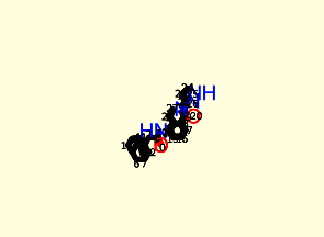 O=C(CC12CC3CC(CC(C3)C1)C2)Nc1cccc2c(=O)n(-c3cc[nH]n3)ccc12